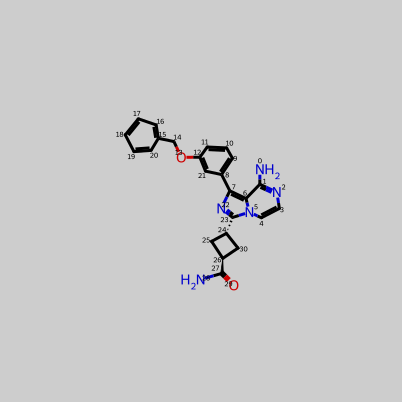 Nc1nccn2c1c(-c1cccc(OCc3ccccc3)c1)nc2[C@H]1C[C@H](C(N)=O)C1